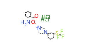 Cl.Cl.Nc1ccccc1C(=O)OCCN1CCN(c2cccc(SC(F)(F)F)c2)CC1